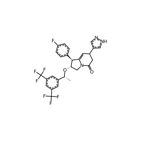 C[C@@H](O[C@H]1CN2C(=O)CC(c3cn[nH]c3)C=C2[C@@H]1c1ccc(F)cc1)c1cc(C(F)(F)F)cc(C(F)(F)F)c1